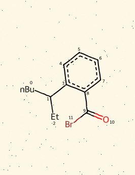 CCCCC(CC)c1ccccc1C(=O)Br